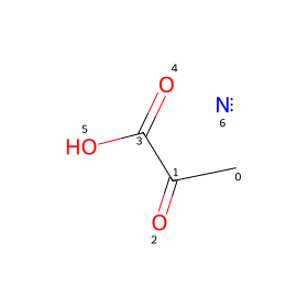 CC(=O)C(=O)O.[N]